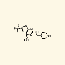 Cl.O=c1nc(NCC2CCNCC2)[nH]c2ccc(C(F)(F)F)cc12